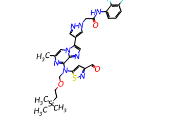 Cc1cn2c(-c3cnn(CC(=O)Nc4cccc(F)c4F)c3)cnc2c(N(COCC[Si](C)(C)C)c2cc(C=O)ns2)n1